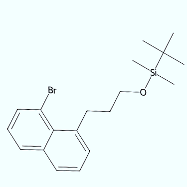 CC(C)(C)[Si](C)(C)OCCCc1cccc2cccc(Br)c12